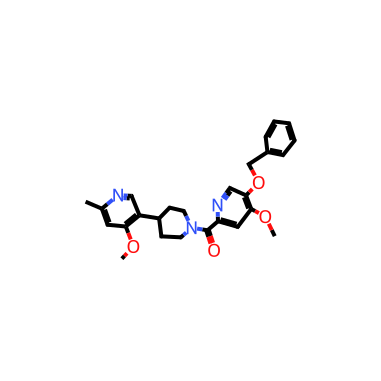 COc1cc(C(=O)N2CCC(c3cnc(C)cc3OC)CC2)ncc1OCc1ccccc1